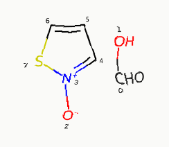 O=CO.[O-][n+]1cccs1